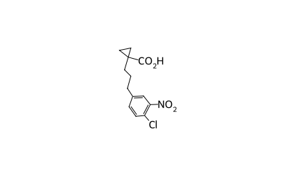 O=C(O)C1(CCCc2ccc(Cl)c([N+](=O)[O-])c2)CC1